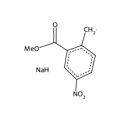 [CH2]c1ccc([N+](=O)[O-])cc1C(=O)OC.[NaH]